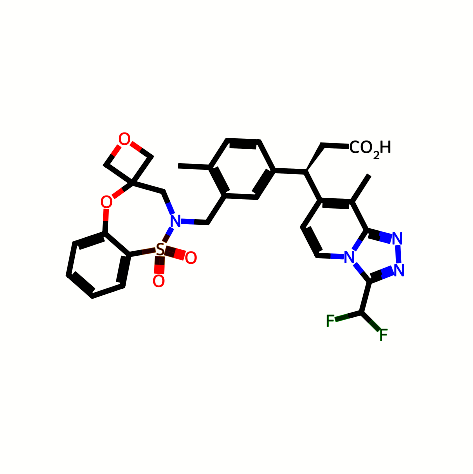 Cc1ccc([C@@H](CC(=O)O)c2ccn3c(C(F)F)nnc3c2C)cc1CN1CC2(COC2)Oc2ccccc2S1(=O)=O